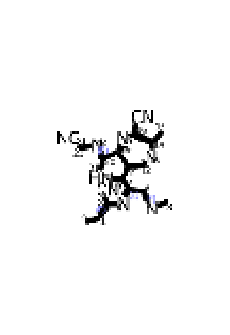 C/C=C(C#N)/N=C(/C=N/C)C(=N)C1C=NC(C)=C(C#N)N=C1/C(C)=N/CC#N